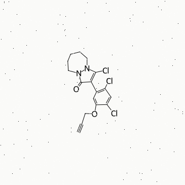 C#CCOc1cc(-c2c(Cl)n3n(c2=O)CCCCC3)c(Cl)cc1Cl